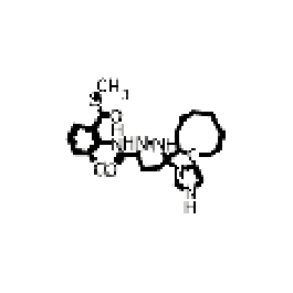 COC(=O)c1cccc(Cl)c1NC(=O)C1CCC(C2CCCCCCCC2)(N2CCNC2)NN1